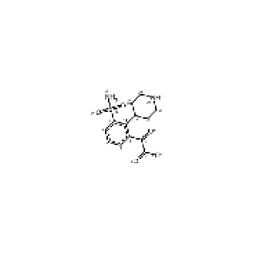 CCC(=O)C(=O)c1cccc(S(N)(=O)=O)c1C1CCNCC1